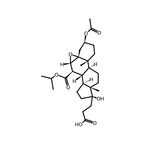 CC(=O)O[C@H]1CC[C@]2(C)[C@H]3CC[C@@]4(C)[C@@H](CC[C@@]4(O)CCC(=O)O)[C@@H]3[C@@H](C(=O)OC(C)C)[C@@H]3O[C@@]32C1